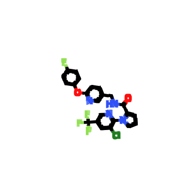 O=C(NCc1ccc(Oc2ccc(F)cc2)nc1)c1cccn1-c1ncc(C(F)(F)F)cc1Cl